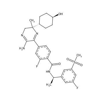 C[C@@H](NC(=O)c1ccc(C2=NC(C)([C@H]3CC[C@H](O)CC3)CN=C2N)cc1F)c1cc(F)cc(S(C)(=O)=O)c1